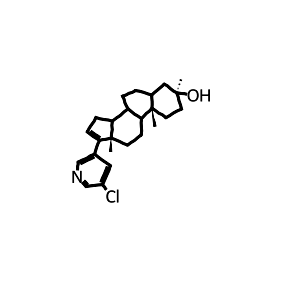 C[C@]1(O)CC[C@@]2(C)C(CCC3C2CC[C@]2(C)C(c4cncc(Cl)c4)=CCC32)C1